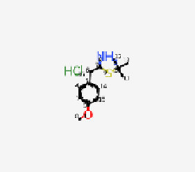 COc1ccc(CC(N)SC(C)(C)C)cc1.Cl